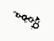 CC[C@]1(C)CCC[C@H](F)[C@H](N(c2ncc(-c3ccc(-c4ncc(C#N)s4)cc3O)nn2)C2CC2)C1